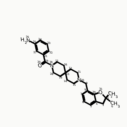 CC1(C)Cc2cccc(CN3CCC4(CC3)CCN(C(=O)c3cccc(N)c3)CC4)c2O1